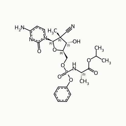 CC(C)OC(=O)[C@H](C)NP(=O)(OC[C@H]1O[C@@H](n2ccc(N)nc2=O)[C@](C)(C#N)[C@@H]1O)Oc1ccccc1